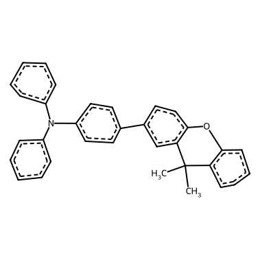 CC1(C)c2ccccc2Oc2ccc(-c3ccc(N(c4ccccc4)c4ccccc4)cc3)cc21